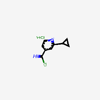 Cl.N=C(Cl)c1ccnc(C2CC2)c1